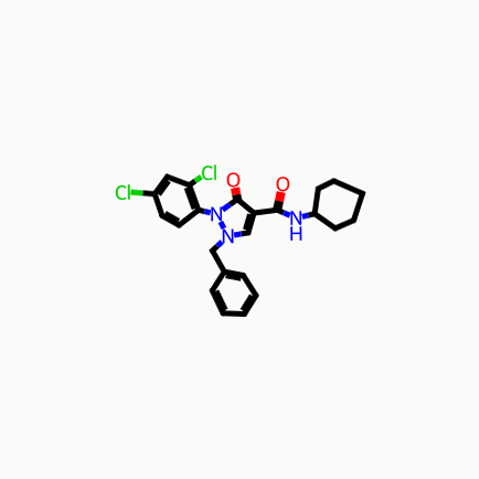 O=C(NC1CCCCC1)c1cn(Cc2ccccc2)n(-c2ccc(Cl)cc2Cl)c1=O